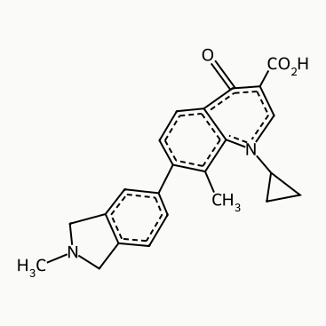 Cc1c(-c2ccc3c(c2)CN(C)C3)ccc2c(=O)c(C(=O)O)cn(C3CC3)c12